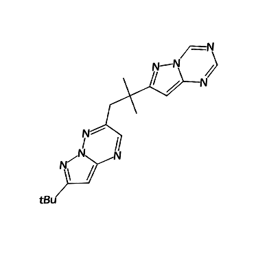 CC(C)(C)c1cc2ncc(CC(C)(C)c3cc4ncncn4n3)nn2n1